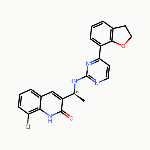 C[C@H](Nc1nccc(-c2cccc3c2OCC3)n1)c1cc2cccc(Cl)c2[nH]c1=O